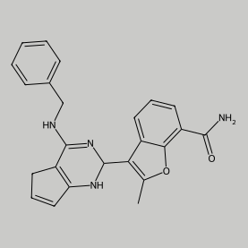 Cc1oc2c(C(N)=O)cccc2c1C1N=C(NCc2ccccc2)C2=C(C=CC2)N1